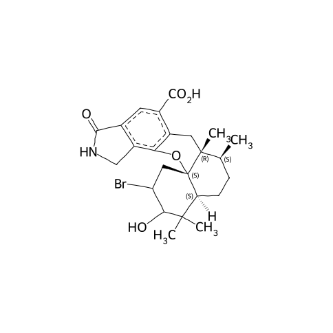 C[C@H]1CC[C@H]2C(C)(C)C(O)C(Br)C[C@]23Oc2c(c(C(=O)O)cc4c2CNC4=O)C[C@]13C